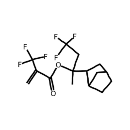 C=C(C(=O)OC(C)(CC(F)(F)F)C1CC2CCC1C2)C(F)(F)F